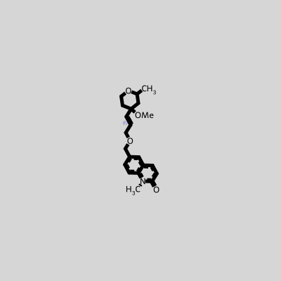 COC1(/C=C/COCc2ccc3c(ccc(=O)n3C)c2)CCOC(C)C1